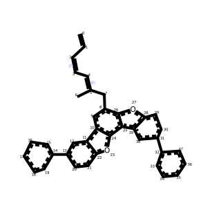 C=C/C=C\C=C(/C)Cc1cc2c3cc(-c4ccccc4)ccc3oc2c2c1oc1ccc(-c3ccccc3)cc12